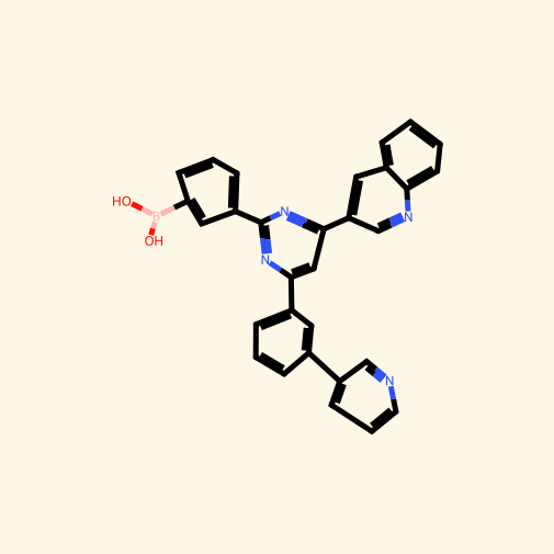 OB(O)c1cccc(-c2nc(-c3cccc(-c4cccnc4)c3)cc(-c3cnc4ccccc4c3)n2)c1